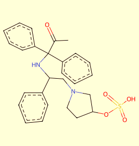 CC(=O)C(NC(CN1CCC(OS(=O)(=O)O)C1)c1ccccc1)(c1ccccc1)c1ccccc1